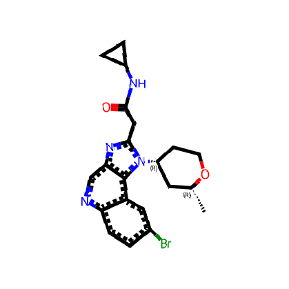 C[C@@H]1C[C@H](n2c(CC(=O)NC3CC3)nc3cnc4ccc(Br)cc4c32)CCO1